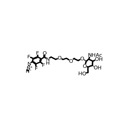 CC(=O)NC1C(O)[C@H](O)C(CO)O[C@H]1OCCOCCOCCNC(=O)c1c(F)c(F)c(N=[N+]=[N-])c(F)c1F